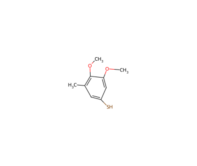 COc1cc(S)cc(C)c1OC